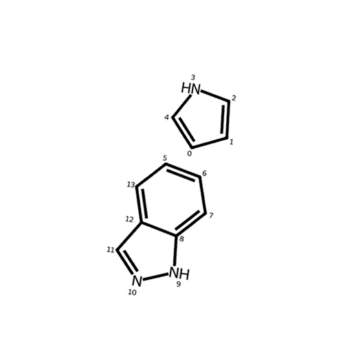 c1cc[nH]c1.c1ccc2[nH]ncc2c1